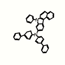 C1=C(c2ccccc2)CCC(N(c2ccc(-c3ccccc3)cc2)c2ccc3c4c5ccccc5ccc4n(-c4ccccc4)c3c2)=C1